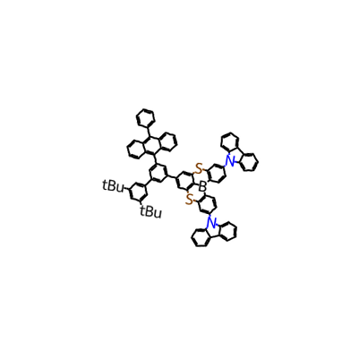 CC(C)(C)c1cc(-c2cc(-c3cc4c5c(c3)Sc3cc(-n6c7ccccc7c7ccccc76)ccc3B5c3ccc(-n5c6ccccc6c6ccccc65)cc3S4)cc(-c3c4ccccc4c(-c4ccccc4)c4ccccc34)c2)cc(C(C)(C)C)c1